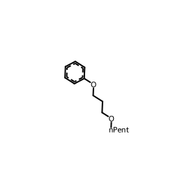 [CH2]CCCCOCCCOc1ccccc1